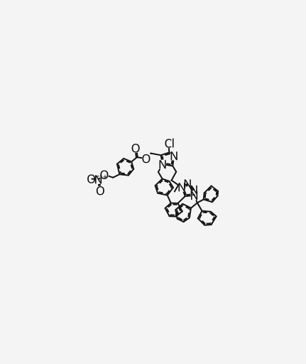 CCCCc1nc(Cl)c(COC(=O)c2ccc(CO[N+](=O)[O-])cc2)n1Cc1ccc(-c2ccccc2-c2nnnn2C(c2ccccc2)(c2ccccc2)c2ccccc2)cc1